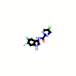 O=C(Nc1c[nH]c2cc(F)c(F)cc12)c1ncc(Cl)cn1